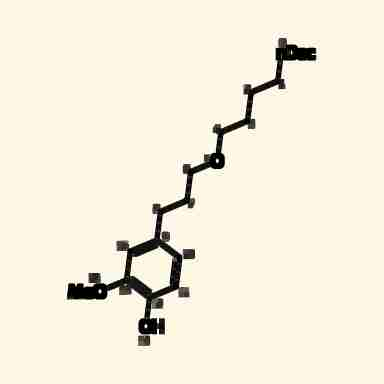 CCCCCCCCCCCCCCOCCCc1ccc(O)c(OC)c1